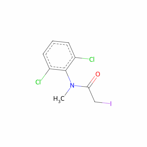 CN(C(=O)CI)c1c(Cl)cccc1Cl